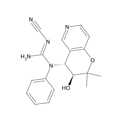 CC1(C)Oc2ccncc2[C@@H](N(C(N)=NC#N)c2ccccc2)[C@@H]1O